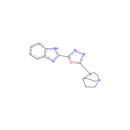 c1ccc2[nH]c(-c3nnc(N4CCN5CCC4CC5)o3)nc2c1